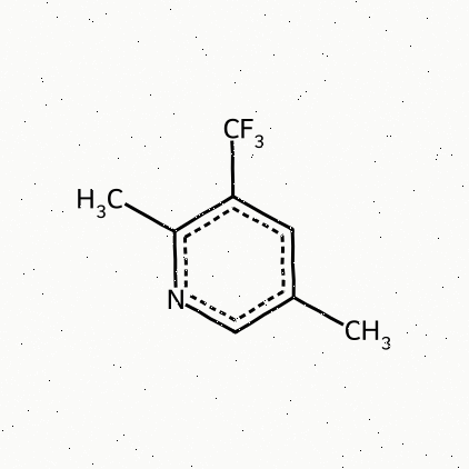 Cc1cnc(C)c(C(F)(F)F)c1